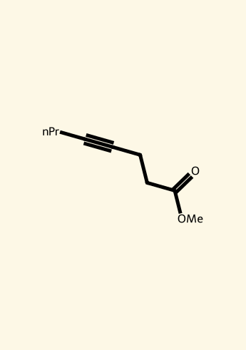 [CH2]CCC#CCCC(=O)OC